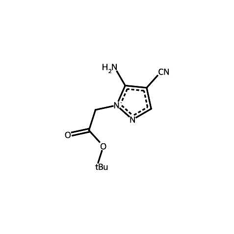 CC(C)(C)OC(=O)Cn1ncc(C#N)c1N